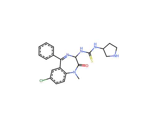 CN1C(=O)C(NC(=S)NC2CCNC2)N=C(c2ccccc2)c2cc(Cl)ccc21